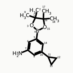 CC1(C)OB(c2cc(N)cc(C3CC3)c2)OC1(C)C